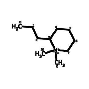 CCCC1CCCC[N+]1(C)C